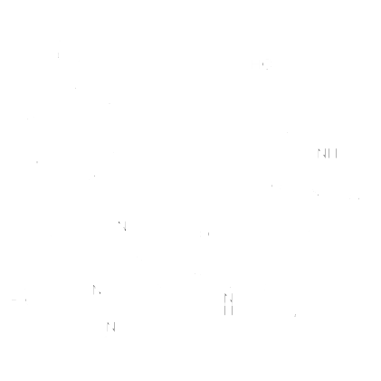 O=C(Nc1cccc(S(=O)(=O)NCCO)c1)c1cnn2c(C(F)(F)F)cc(-c3ccc(C(F)(F)F)cc3)nc12